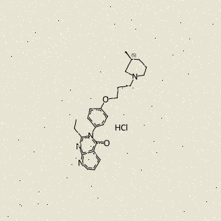 CCc1nc2ncccc2c(=O)n1-c1ccc(OCCCN2CCC[C@H](C)C2)cc1.Cl